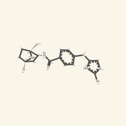 CC(=O)c1ncc(Sc2ccc(C(=O)N[C@@H]3C[C@H]4CC[C@@H]3N4)cc2)[nH]1